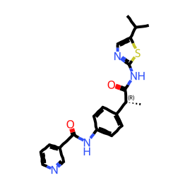 CC(C)c1cnc(NC(=O)[C@H](C)c2ccc(NC(=O)c3cccnc3)cc2)s1